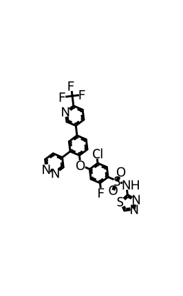 O=S(=O)(Nc1nncs1)c1cc(Cl)c(Oc2ccc(-c3ccc(C(F)(F)F)nc3)cc2-c2ccnnc2)cc1F